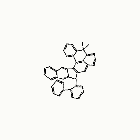 CC1(C)c2ccccc2-c2c3c1cccc3cc1c2c2cc3ccccc3cc2n1-c1ccccc1-c1ccccc1